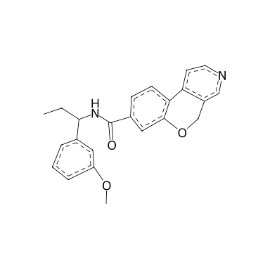 CCC(NC(=O)c1ccc2c(c1)OCc1cnccc1-2)c1cccc(OC)c1